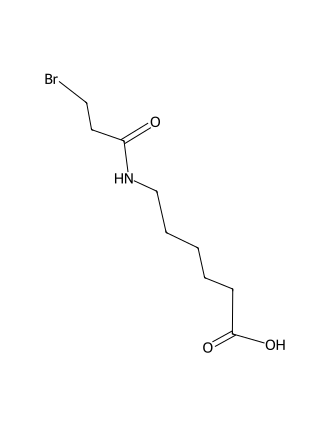 O=C(O)CCCCCNC(=O)CCBr